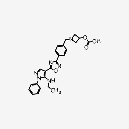 CCNc1c(-c2nc(-c3ccc(CN4CC(OC(=O)O)C4)cc3)no2)cnn1-c1ccccc1